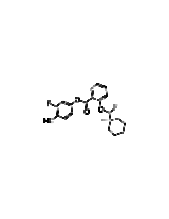 CC1(C(F)Oc2ccccc2C(=O)Oc2ccc(C#N)c(F)c2)CCCCC1